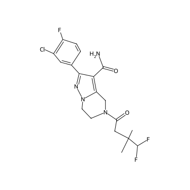 CC(C)(CC(=O)N1CCn2nc(-c3ccc(F)c(Cl)c3)c(C(N)=O)c2C1)C(F)F